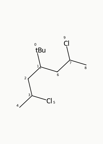 [CH2]C([CH2])([CH2])[C](CC(C)Cl)CC(C)Cl